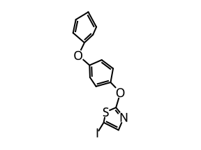 Ic1cnc(Oc2ccc(Oc3ccccc3)cc2)s1